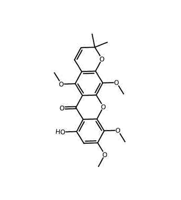 COc1cc(O)c2c(=O)c3c(OC)c4c(c(OC)c3oc2c1OC)OC(C)(C)C=C4